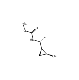 C[C@@H](NC(=O)OC(C)(C)C)[C@@H]1C[C@@H]1C#N